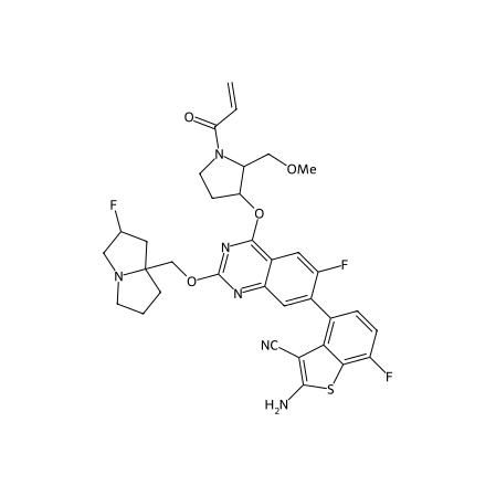 C=CC(=O)N1CCC(Oc2nc(OCC34CCCN3CC(F)C4)nc3cc(-c4ccc(F)c5sc(N)c(C#N)c45)c(F)cc23)C1COC